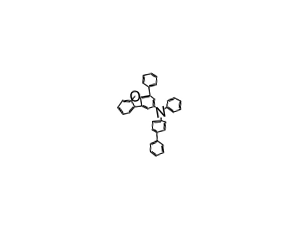 c1ccc(-c2ccc(N(c3ccccc3)c3cc(-c4ccccc4)c4oc5ccccc5c4c3)cc2)cc1